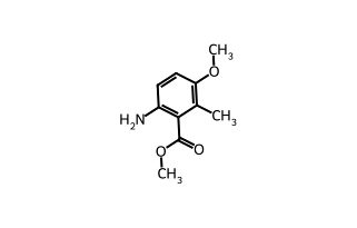 COC(=O)c1c(N)ccc(OC)c1C